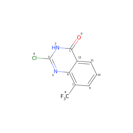 O=c1[nH]c(Cl)nc2c(C(F)(F)F)cccc12